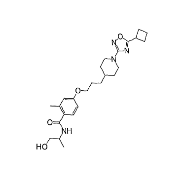 Cc1cc(OCCCC2CCN(c3noc(C4CCC4)n3)CC2)ccc1C(=O)NC(C)CO